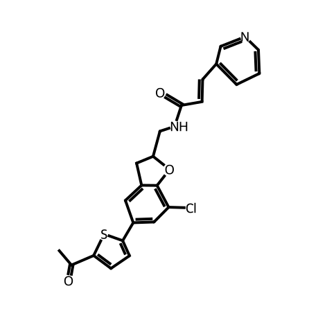 CC(=O)c1ccc(-c2cc(Cl)c3c(c2)CC(CNC(=O)C=Cc2cccnc2)O3)s1